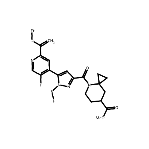 C=C(OCC)c1cc(-c2cc(C(=O)N3CCC(C(=O)OC)CC34CC4)nn2SF)c(F)cn1